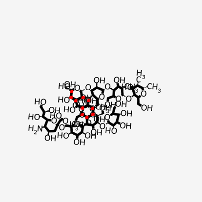 CC1C(O)[C@H](O[C@@H]2OC(CO)[C@H](O)C(O)[C@@H]2O)[C@H](CO)O[C@H]1O[C@H](C(O)[C@H](O)CCO)[C@H](O)OCC1O[C@@H](O[C@@H]2C(CO)O[C@@H](O[C@@H]3C(CO)O[C@@H](C)[C@@H](C)C3O)[C@@H](C)C2O)[C@H](O)C(O[C@H]2O[C@H](CO)[C@@H](O)C(O)C2O[C@@H]2OC(CO)[C@@H](O[C@@H]3OC(CO[C@]4(C(=O)O)C[C@@H](O)[C@@H](N)C([C@H](O)[C@H](O)CO)O4)[C@H](O)C(O)[C@@H]3O)C(O)[C@@H]2C)[C@@H]1O